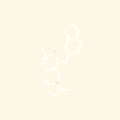 CC(=O)N[C@H](Cc1ccc2ccccc2c1)C(=O)ON1C(=O)CCC1=O